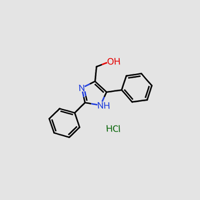 Cl.OCc1nc(-c2ccccc2)[nH]c1-c1ccccc1